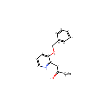 COC(=O)Cc1ncccc1OCc1ccccc1